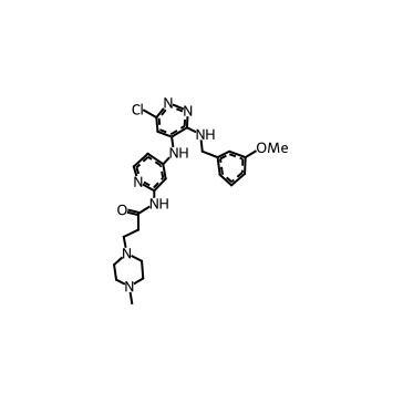 COc1cccc(CNc2nnc(Cl)cc2Nc2ccnc(NC(=O)CCN3CCN(C)CC3)c2)c1